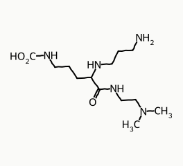 CN(C)CCNC(=O)C(CCCNC(=O)O)NCCCN